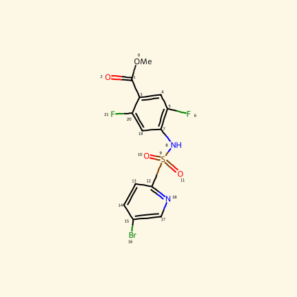 COC(=O)c1cc(F)c(NS(=O)(=O)c2ccc(Br)cn2)cc1F